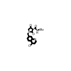 CC(C)(C)NC(=O)[C@@H]1C(=O)CN(Cc2ccc3c(Cl)ccnc3c2)C1=O